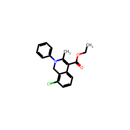 CCOC(=O)C1=C(C)N(c2ccccc2)Cc2c(Cl)cccc21